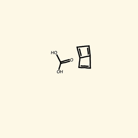 O=C(O)O.c1cc2ccc1-2